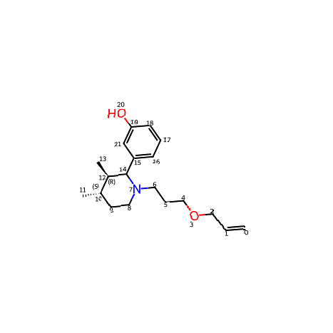 C=CCOCCCN1CC[C@H](C)[C@@H](C)C1c1cccc(O)c1